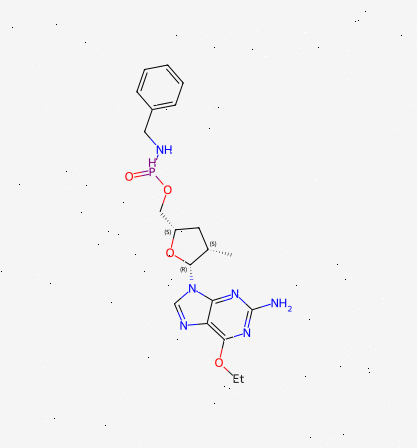 CCOc1nc(N)nc2c1ncn2[C@@H]1O[C@H](CO[PH](=O)NCc2ccccc2)C[C@@H]1C